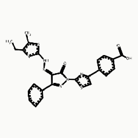 CCc1nc(N/N=C2\C(=O)N(c3nc(-c4ccc(C(=O)O)cc4)cs3)N=C2c2ccccc2)sc1C